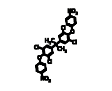 CC(C)(c1cc(Cl)c(Oc2ccc([N+](=O)[O-])cc2)c(Cl)c1)c1cc(Cl)c(Oc2ccc([N+](=O)[O-])cc2)c(Cl)c1